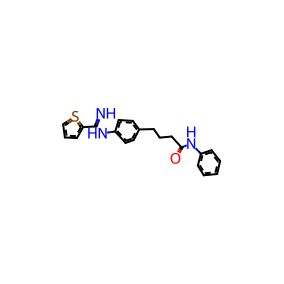 N=C(Nc1ccc(CCCC(=O)Nc2ccccc2)cc1)c1cccs1